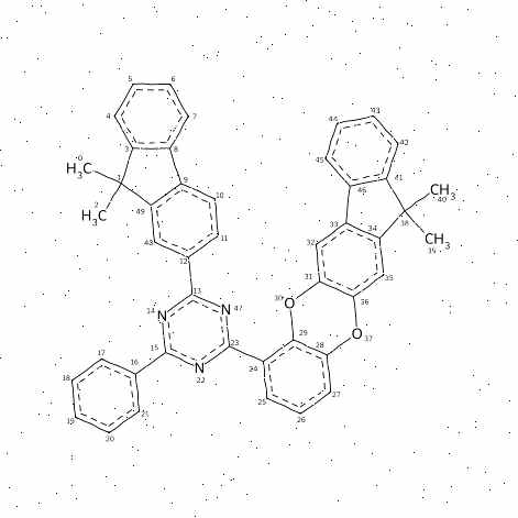 CC1(C)c2ccccc2-c2ccc(-c3nc(-c4ccccc4)nc(-c4cccc5c4Oc4cc6c(cc4O5)C(C)(C)c4ccccc4-6)n3)cc21